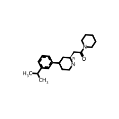 CC(C)c1cccc(C2CC[N][C@H](CC(=O)N3CCCCC3)C2)c1